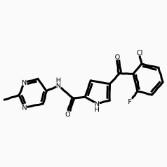 Cc1ncc(NC(=O)c2cc(C(=O)c3c(F)cccc3Cl)c[nH]2)cn1